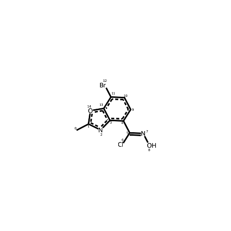 Cc1nc2c(C(Cl)=NO)ccc(Br)c2o1